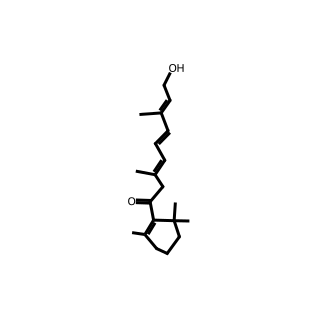 CC1=C(C(=O)C/C(C)=C/C=C/C(C)=C/CO)C(C)(C)CCC1